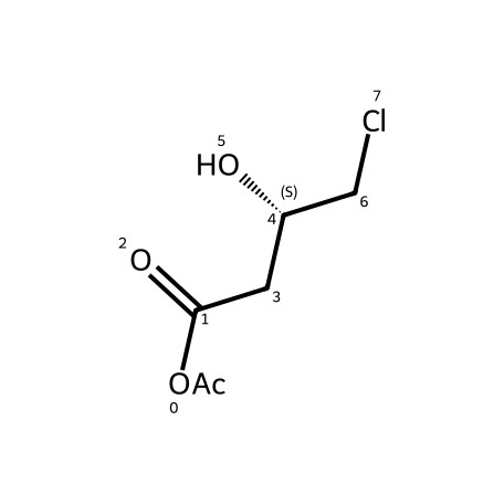 CC(=O)OC(=O)C[C@H](O)CCl